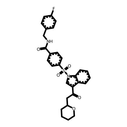 O=C(NCc1ccc(F)cc1)c1ccc(S(=O)(=O)n2cc(C(=O)CC3CCCCO3)c3ccccc32)cc1